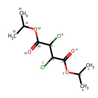 CC(C)OC(=O)C(Cl)C(Cl)C(=O)OC(C)C